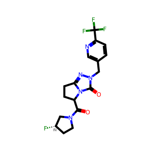 O=C(C1CCc2nn(Cc3ccc(C(F)(F)F)nc3)c(=O)n21)N1CC[C@H](F)C1